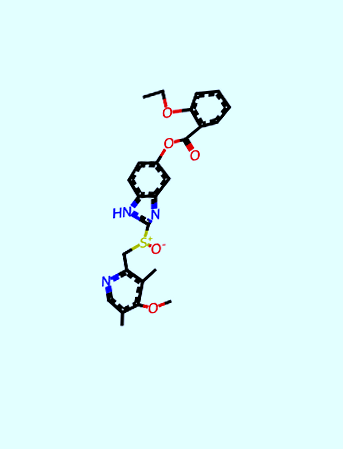 CCOc1ccccc1C(=O)Oc1ccc2[nH]c([S+]([O-])Cc3ncc(C)c(OC)c3C)nc2c1